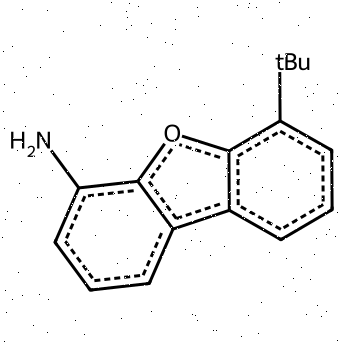 CC(C)(C)c1cccc2c1oc1c(N)cccc12